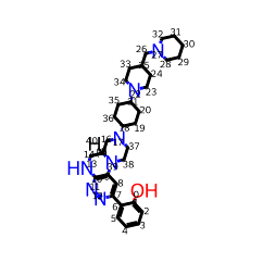 Oc1ccccc1-c1cc2c(nn1)NC[C@H]1CN([C@H]3CC[C@H](N4CCC(CN5CCCCC5)CC4)CC3)CCN21